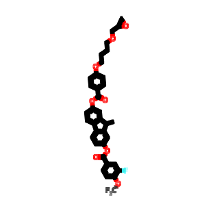 CC1c2cc(OC(=O)c3ccc(OCCCCOCC4CO4)cc3)ccc2-c2ccc(OC(=O)c3ccc(OC(F)(F)F)c(F)c3)cc21